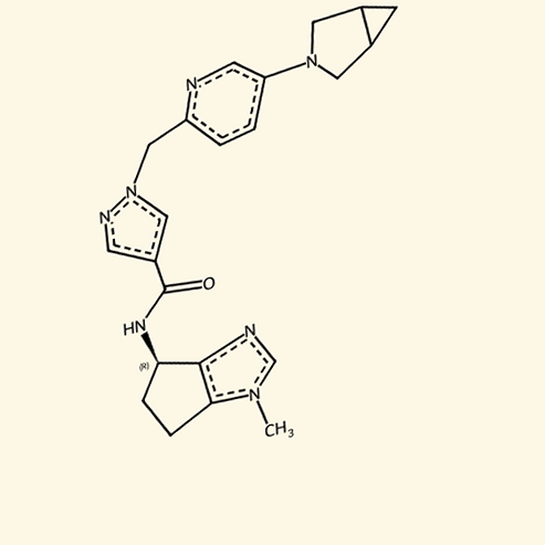 Cn1cnc2c1CC[C@H]2NC(=O)c1cnn(Cc2ccc(N3CC4CC4C3)cn2)c1